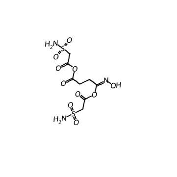 NS(=O)(=O)CC(=O)OC(=O)CC/C(=N/O)OC(=O)CS(N)(=O)=O